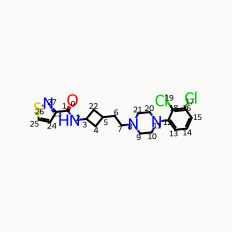 O=C(NC1CC(CCN2CCN(c3cccc(Cl)c3Cl)CC2)C1)c1ccsn1